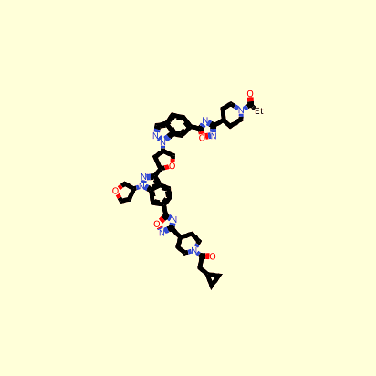 CCC(=O)N1CCC(c2noc(-c3ccc4cnn(C5COC(c6nn(C7CCOC7)c7cc(-c8nc(C9CCN(C(=O)CC%10CC%10)CC9)no8)ccc67)C5)c4c3)n2)CC1